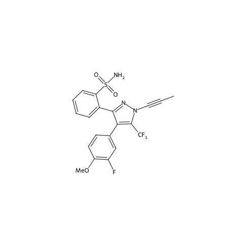 CC#Cn1nc(-c2ccccc2S(N)(=O)=O)c(-c2ccc(OC)c(F)c2)c1C(F)(F)F